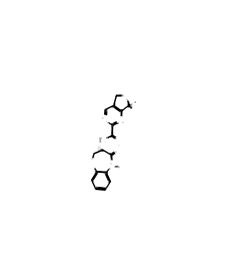 CC[C@]1(C)OCc2cnc(C(=O)N[C@H]3COc4ccccc4N(C)C3=O)nc21